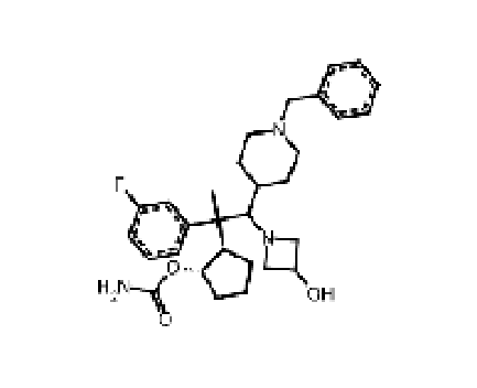 CC(c1cccc(F)c1)(C(C1CCN(Cc2ccccc2)CC1)N1CC(O)C1)[C@H]1CCC[C@@H]1OC(N)=O